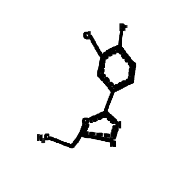 CCc1nnc(-c2ccc(Br)c(Cl)c2)o1